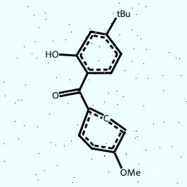 COc1ccc(C(=O)c2ccc(C(C)(C)C)cc2O)cc1